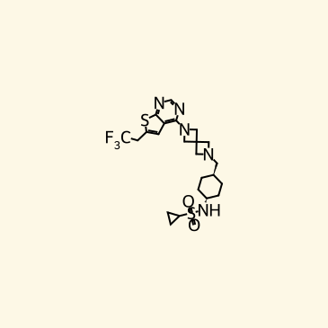 O=S(=O)(N[C@H]1CC[C@H](CN2CC3(C2)CN(c2ncnc4sc(CC(F)(F)F)cc24)C3)CC1)C1CC1